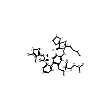 CCCCC1=NC2(CCCC2)C(=O)N1Cc1ccc(-c2ccccc2S(=O)(=O)Nc2noc(C)c2C)c(CN(C)C(=O)CCC(C)C)c1